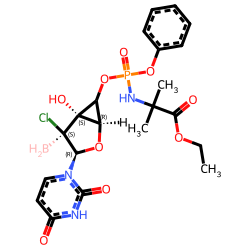 B[C@@]1(Cl)[C@H](n2ccc(=O)[nH]c2=O)O[C@@H]2C(OP(=O)(NC(C)(C)C(=O)OCC)Oc3ccccc3)[C@@]21O